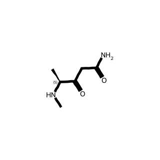 CN[C@@H](C)C(=O)CC(N)=O